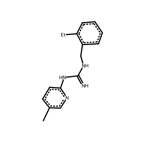 CCc1ccccc1CNC(=N)Nc1ccc(C)cn1